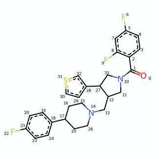 O=C(c1ccc(F)cc1F)N1CC(CN2CCC(c3ccc(F)cc3)CC2)C(c2ccsc2)C1